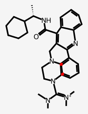 C[C@H](NC(=O)c1c(CN2CCN(C(N(C)C)=[N+](C)C)CC2)c(-c2ccccc2)nc2ccccc12)C1CCCCC1